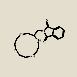 O=C1c2ccccc2C(=O)N1CC1CNCCNCCNCCN1